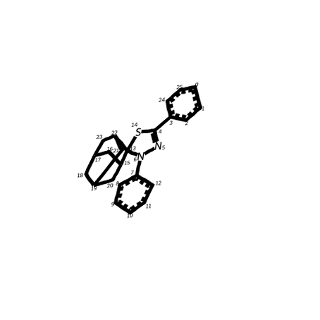 c1ccc(C2=NN(c3ccccc3)C3(S2)C2CC4CC(C2)CC3C4)cc1